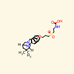 CC1(C)C[C@H]2CN(Cc3ccccc3)C[C@H]1N(c1ccc(OCCCS(=O)(=O)CCNC(=O)O)cc1)C2